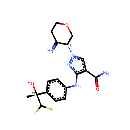 C[C@@](O)(c1ccc(Nc2nn([C@H]3COCCC3=N)cc2C(N)=O)cc1)C(F)F